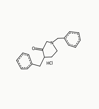 Cl.O=C1CN(Cc2ccccc2)CCC1Cc1ccccc1